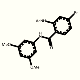 COc1cc(NC(=O)c2ccc(Br)cc2NC(C)=O)cc(OC)c1